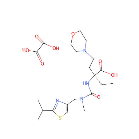 CC[C@@](CCN1CCOCC1)(NC(=O)N(C)Cc1csc(C(C)C)n1)C(=O)O.O=C(O)C(=O)O